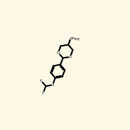 CCCCCC1COC(c2ccc(OC(F)F)cc2)OC1